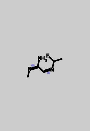 C/N=C(N)\C=N/C(C)F